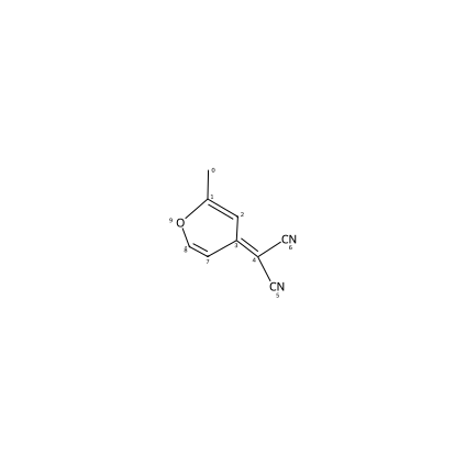 CC1=CC(=C(C#N)C#N)C=[C]O1